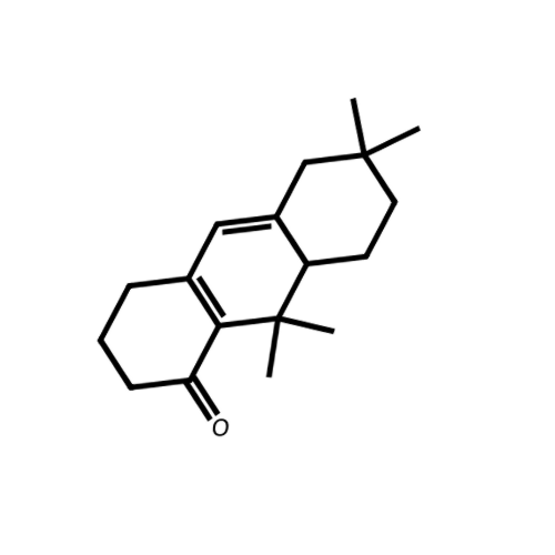 CC1(C)CCC2C(=CC3=C(C(=O)CCC3)C2(C)C)C1